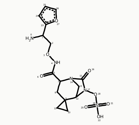 NC(CONC(=O)C1CC2(CC2)C2CN1C(=O)N2OS(=O)(=O)O)c1ccco1